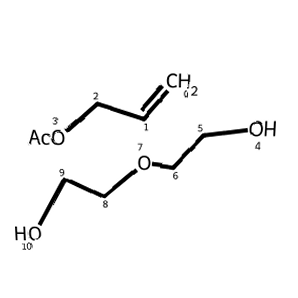 C=CCOC(C)=O.OCCOCCO